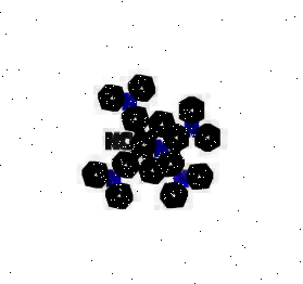 N#Cc1c(-c2ccc(N(c3ccccc3)c3ccccc3)cc2)c(-c2ccccc2)c(-n2c3ccc(N(c4ccccc4)c4ccccc4)cc3c3cc(N(c4ccccc4)c4ccccc4)ccc32)c(-c2ccccc2)c1-c1ccc(N(c2ccccc2)c2ccccc2)cc1